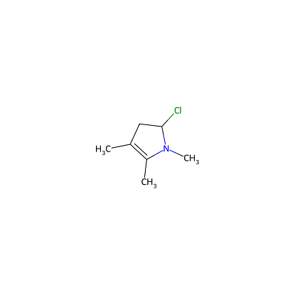 CC1=C(C)N(C)C(Cl)C1